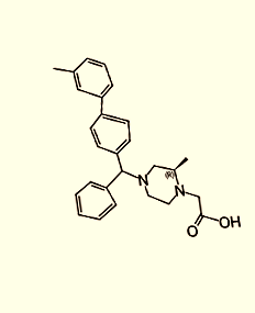 Cc1cccc(-c2ccc(C(c3ccccc3)N3CCN(CC(=O)O)[C@H](C)C3)cc2)c1